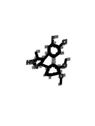 COc1ccc(-c2n[nH]c(C)c2-c2ccc(Cl)c(F)c2)cc1OC